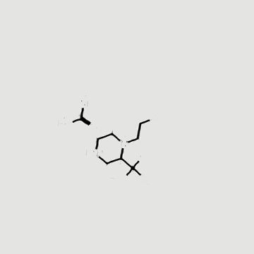 CC(C)(C)C1CNCCN1CCO.NC(=O)O